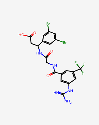 N=C(N)Nc1cc(C(=O)NCC(=O)NC(CC(=O)O)c2cc(Br)cc(Br)c2)cc(C(F)(F)F)c1